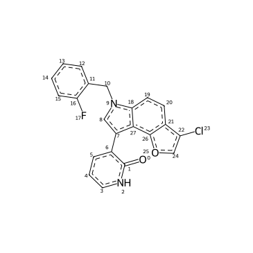 O=c1[nH]cccc1-c1cn(Cc2ccccc2F)c2ccc3c(Cl)coc3c12